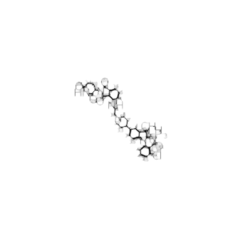 CC1(C)c2cc(C3CCN(CCNc4cccc5c4C(=O)N(C4CCC(=O)NC4=O)C5=O)CC3)ccc2-n2c1nc(=O)c1c(Cl)cccc12